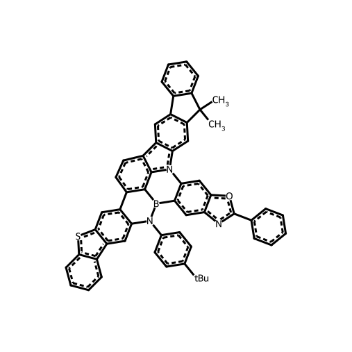 CC(C)(C)c1ccc(N2B3c4cc5nc(-c6ccccc6)oc5cc4-n4c5cc6c(cc5c5ccc(c3c54)-c3cc4sc5ccccc5c4cc32)-c2ccccc2C6(C)C)cc1